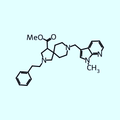 COC(=O)C1CN(CCc2ccccc2)CC12CCN(Cc1cn(C)c3ncccc13)CC2